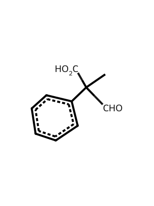 CC(C=O)(C(=O)O)c1ccccc1